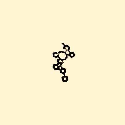 Cc1ccc2[n+](c1)C1CC[n+]3ccccc3-c3cc4c5cccc6c7cc(-c8ccccc8)ccc7n(c4nc3CCC1c1ccccc1-2)c65